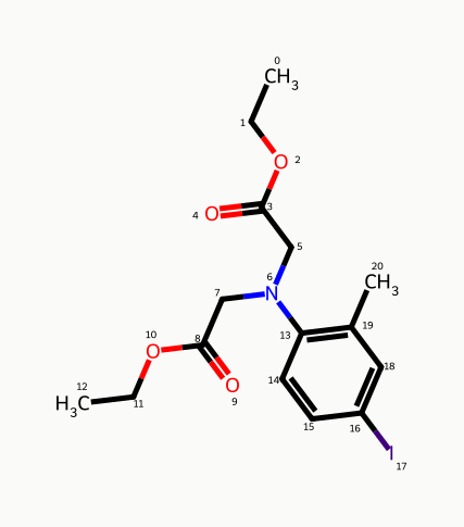 CCOC(=O)CN(CC(=O)OCC)c1ccc(I)cc1C